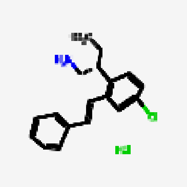 Cl.NC[C@H](CC(=O)O)c1ccc(Cl)cc1/C=C/c1ccccc1